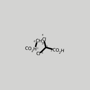 CC(=O)O.O=C(O)C(Cl)Cl